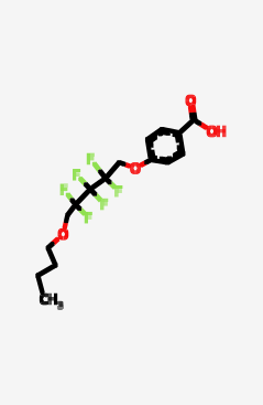 CCCCOCC(F)(F)C(F)(F)C(F)(F)COc1ccc(C(=O)O)cc1